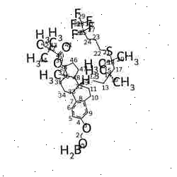 BOCOc1ccc2c(c1)C[C@@H](CCC(C)(C)CC(C)(C)SCCCC(F)(F)C(F)(F)F)[C@@H]1C2CCC2(C)C(OC(=O)C(C)(C)C)CCC12